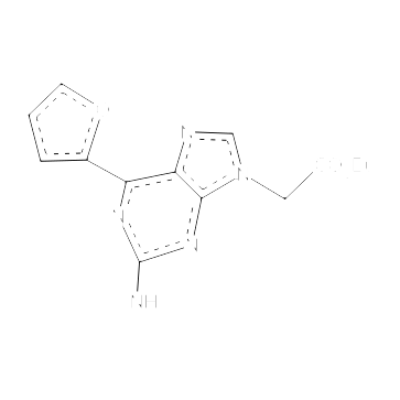 CCOC(=O)Cn1cnc2c(-c3ccco3)nc(N)nc21